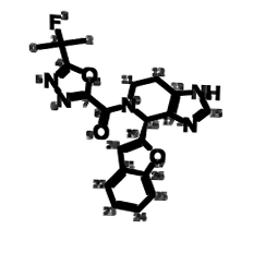 CC(C)(F)c1nnc(C(=O)N2CCc3[nH]cnc3[C@H]2c2cc3ccccc3o2)o1